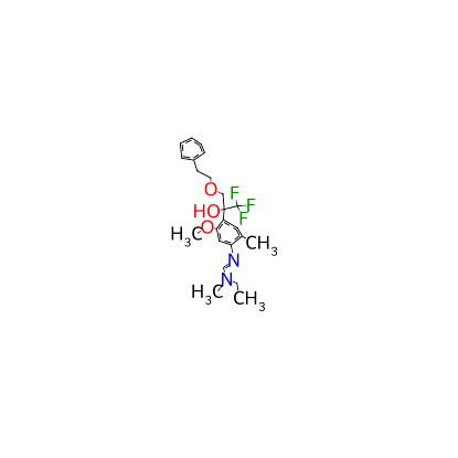 CCN(C)C=Nc1cc(OC)c(C(O)(COCCc2ccccc2)C(F)(F)F)cc1C